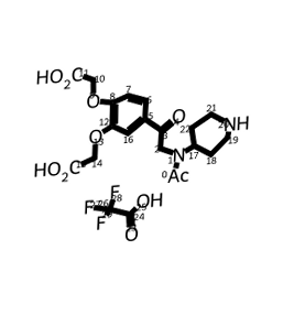 CC(=O)N(CC(=O)c1ccc(OCC(=O)O)c(OCC(=O)O)c1)C1CCNCC1.O=C(O)C(F)(F)F